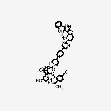 C#Cc1ccc([C@H](C)NC(=O)[C@@H]2C[C@@H](O)CN2C(=O)[C@@H](NC(=O)N2CCC(N3CCC(c4cnc(N5CCC6Nc7nnc(-c8ccccc8O)cc7C6[C@H]5C(F)(F)F)nc4)CC3)CC2)C(C)(C)C)cc1